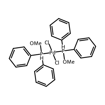 CO[PH](c1ccccc1)(c1ccccc1)[Pd]([Cl])([Cl])[PH](OC)(c1ccccc1)c1ccccc1